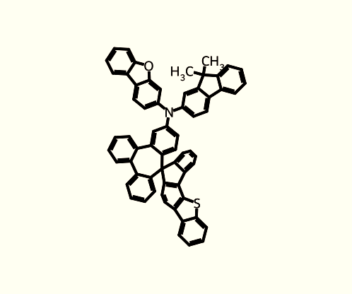 CC1(C)c2ccccc2-c2ccc(N(c3ccc4c(c3)-c3ccccc3-c3ccccc3C43c4ccccc4-c4c3ccc3c4sc4ccccc43)c3ccc4c(c3)oc3ccccc34)cc21